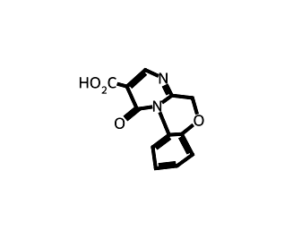 O=C(O)c1cnc2n(c1=O)-c1ccccc1OC2